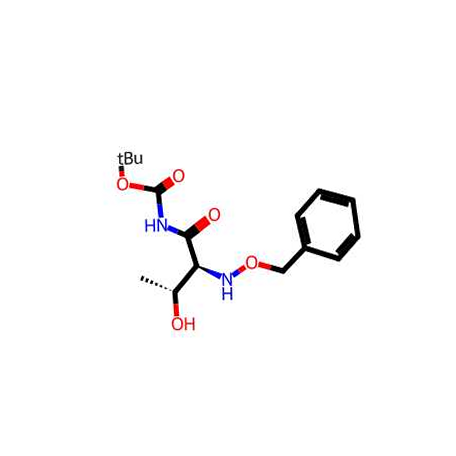 C[C@@H](O)[C@H](NOCc1ccccc1)C(=O)NC(=O)OC(C)(C)C